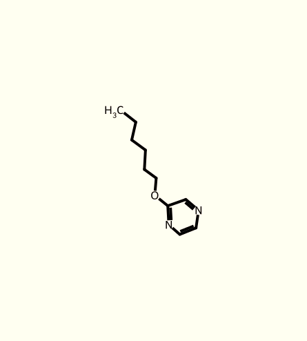 CCCCCCOc1cnccn1